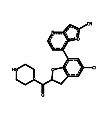 N#Cc1cc2nccc(-c3cc(Cl)cc4c3OC(C(=O)N3CCNCC3)C4)c2o1